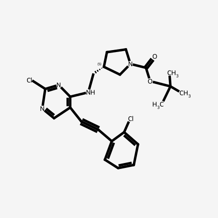 CC(C)(C)OC(=O)N1CC[C@@H](CNc2nc(Cl)ncc2C#Cc2ccccc2Cl)C1